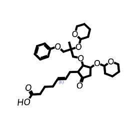 CC(COc1ccccc1)(COC1C(OC2CCCCO2)CC(=O)C1C/C=C/CCCC(=O)O)OC1CCCCO1